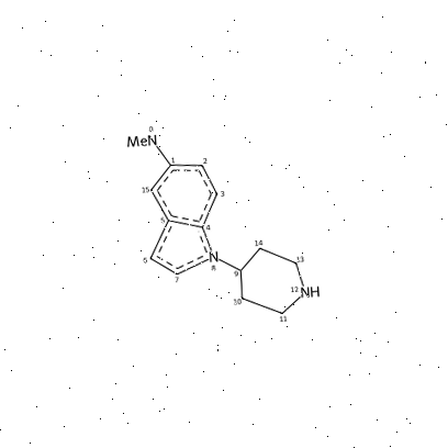 CNc1ccc2c(ccn2C2CCNCC2)c1